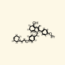 Cc1c(-c2ccc(OC(C)C)cc2)n(Cc2ccc(OCCN3CCCCC3)cc2)c2c1=C(O)CCC=2